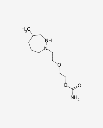 CC1CCCN(CCOCCOC(N)=O)NC1